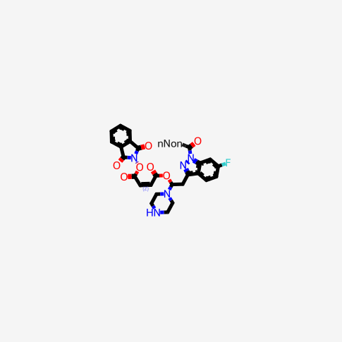 CCCCCCCCCC(=O)n1nc(CC(OC(=O)/C=C\C(=O)ON2C(=O)c3ccccc3C2=O)N2CCNCC2)c2ccc(F)cc21